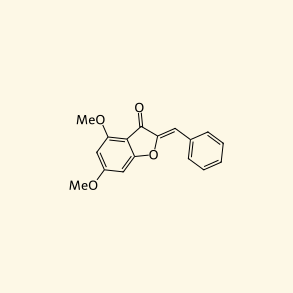 COc1cc(OC)c2c(c1)OC(=Cc1ccccc1)C2=O